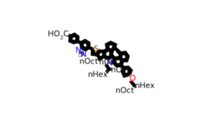 CCCCCCCCC(CCCCCC)COc1ccc(-c2cc3c4c5c2cccc5c2cccc5c6c(c(c4c52)n3CC(CCCCCC)CCCCCCCC)C(CCCCCCCC)(CCCCCCCC)c2cc(-c3ccc(-c4ccc(C(=O)O)cc4)c4nsnc34)sc2-6)cc1